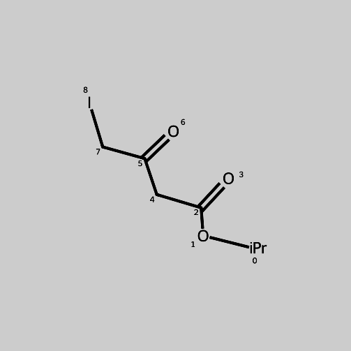 CC(C)OC(=O)CC(=O)CI